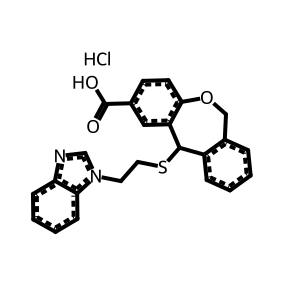 Cl.O=C(O)c1ccc2c(c1)C(SCCn1cnc3ccccc31)c1ccccc1CO2